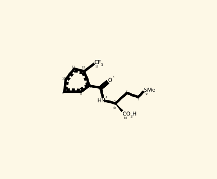 CSCC[C@H](NC(=O)c1ccccc1C(F)(F)F)C(=O)O